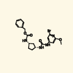 COc1cc(NC(=O)N[C@@H]2CC[C@H](NC(=O)OCc3ccccc3)C2)cc(Br)n1